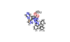 CC(C)(C)OC(=O)[C@]1(Cc2cn(C(c3ccccc3)(c3ccccc3)c3ccccc3)cn2)C[C@H](c2cnccn2)[C@H](c2nccs2)N1